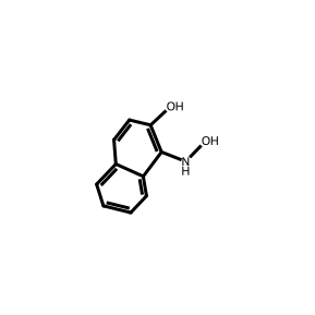 ONc1c(O)ccc2ccccc12